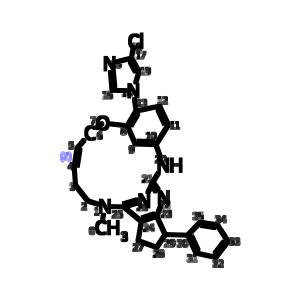 CN1CC/C=C\COc2cc(ccc2-n2cnc(Cl)c2)Nc2nc3c(c1n2)CCC3c1ccccc1